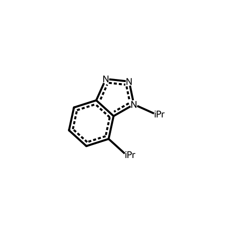 CC(C)c1cccc2nnn(C(C)C)c12